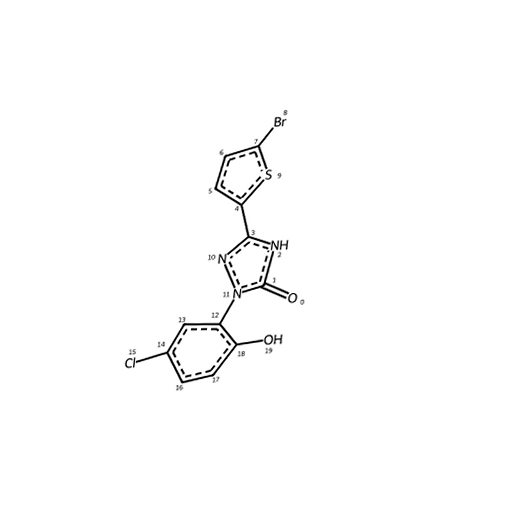 O=c1[nH]c(-c2ccc(Br)s2)nn1-c1cc(Cl)ccc1O